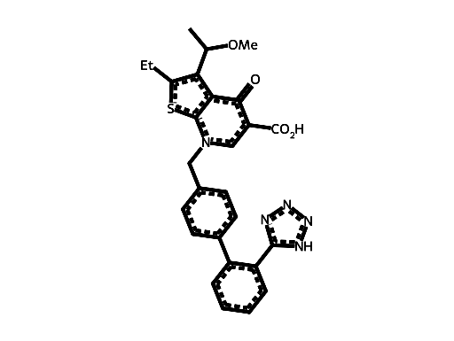 CCc1sc2c(c1C(C)OC)c(=O)c(C(=O)O)cn2Cc1ccc(-c2ccccc2-c2nnn[nH]2)cc1